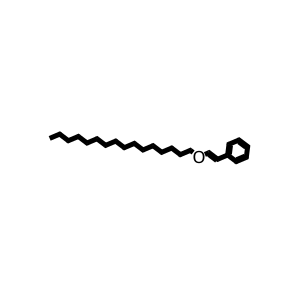 CCCCCCCCCCCCCCCCOC=Cc1ccccc1